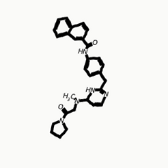 CN(CC(=O)N1CCCC1)C1[C]=CN=C(Cc2ccc(NC(=O)c3ccc4ccccc4c3)cc2)N1